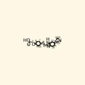 O=C(O)COc1ccc(SCc2nc3ccc(-n4ccnc4)cc3[nH]2)cc1